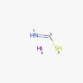 I.N=CS